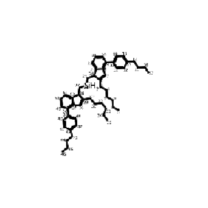 CCCCCCC1=Cc2c(-c3ccc(CCCC)cc3)cccc2C1C[SiH2]CC1C(CCCCCC)=Cc2c(-c3ccc(CCCC)cc3)cccc21